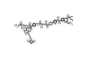 CCCN(CC)C(=O)C1=Cc2ccc(C(=O)Nc3ccc(N4CCC(C(=O)NCCNC(=O)OCc5ccc(NC(=O)[C@H](CCCNC(N)=O)NC(=O)[C@@H](NC(=O)CCCCCN6C(=O)C=CC6=O)C(C)C)cc5)CC4)nc3)cc2N=C(N)C1